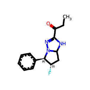 CCC(=O)C1=NN2C(C[C@H](F)[C@H]2c2ccccc2)N1